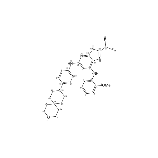 COc1ccccc1Nc1cc(Nc2ccc(N3CCC4(CCOCC4)CC3)cn2)nc2[nH]c(C(F)F)nc12